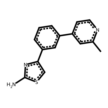 Cc1cc(-c2cccc(-c3csc(N)n3)c2)ccn1